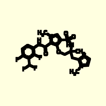 Cn1ccnc1CC1(C)COc2c(cn(C)c2C(=O)Nc2ccc(F)c(C(F)F)c2F)S(=O)(=O)N1